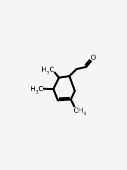 CC1=CC(C)C(C)C(CC=O)C1